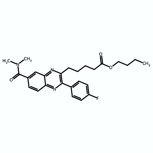 CCCCOC(=O)CCCCc1nc2cc(C(=O)N(C)C)ccc2nc1-c1ccc(F)cc1